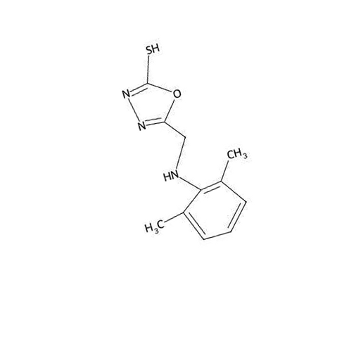 Cc1cccc(C)c1NCc1nnc(S)o1